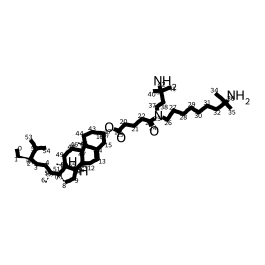 CC[C@H](CC[C@@H](C)[C@H]1CC[C@H]2[C@@H]3CC=C4C[C@@H](OC(=O)CCCC(=O)N(CCCCCCCC(C)(C)N)CCC(C)(C)N)CC[C@]4(C)C3CC[C@]12C)C(C)C